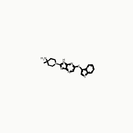 CC1(N)CCN(c2nc3ncc(Sc4csc5ccccc45)nc3[nH]2)CC1